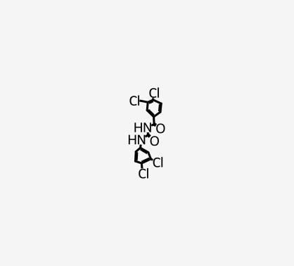 O=C(NC(=O)c1ccc(Cl)c(Cl)c1)Nc1ccc(Cl)c(Cl)c1